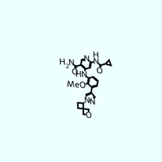 COc1c(Nc2cc(NC(=O)C3CC3)ncc2C(N)=O)cccc1-c1cnn([C@H]2CCC23COC3)c1